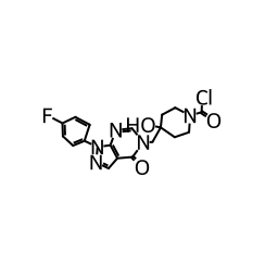 O=C(Cl)N1CCC(O)(Cn2cnc3c(cnn3-c3ccc(F)cc3)c2=O)CC1